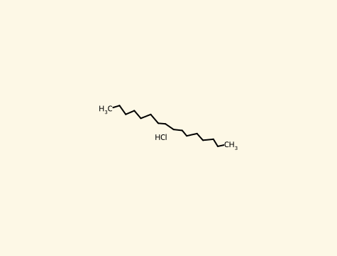 CCCCCCCCCCCCCCCC.Cl